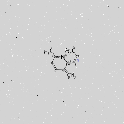 C=C1C=CC(C)=NN1/C=C\C